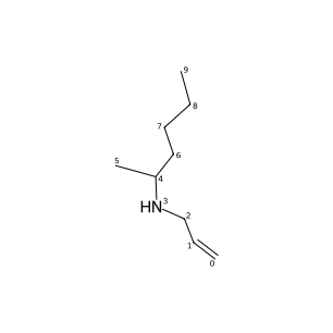 C=CCNC(C)CCCC